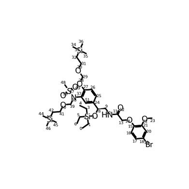 CC[Si](CC)(CC)O[C@H](CNC(=O)COc1ccc(Br)cc1OC)c1ccc(OCOCC[Si](C)(C)C)c(N(COCC[Si](C)(C)C)S(C)(=O)=O)c1